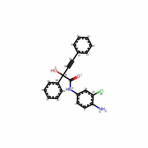 Nc1ccc(NC(=O)C(O)(C#Cc2ccccc2)c2ccccc2)cc1Cl